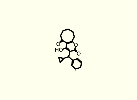 O=C1CCCCCc2oc(=O)c(C(C3=C[CH]CC=C3)C3CC3)c(O)c21